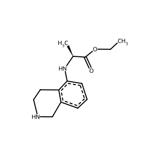 CCOC(=O)[C@H](C)Nc1cccc2c1CCNC2